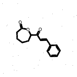 O=C1CCCCC(C(=O)C=Cc2ccccc2)O1